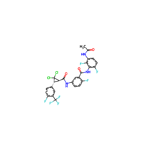 CC(=O)Nc1ccc(F)c(NC(=O)c2cc(NC(=O)[C@H]3[C@H](c4ccc(F)c(C(F)(F)F)c4)C3(Cl)Cl)ccc2F)c1F